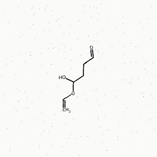 C=COC(O)CCC=O